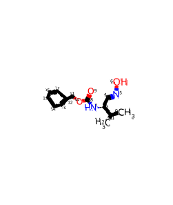 CC(C)[C@@H](/C=N/O)NC(=O)OCc1ccccc1